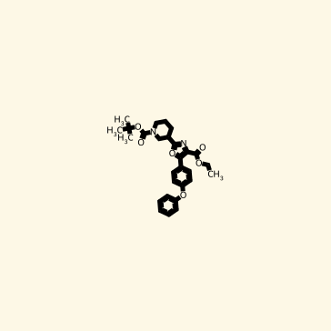 CCOC(=O)c1nc(C2CCCN(C(=O)OC(C)(C)C)C2)oc1-c1ccc(Oc2ccccc2)cc1